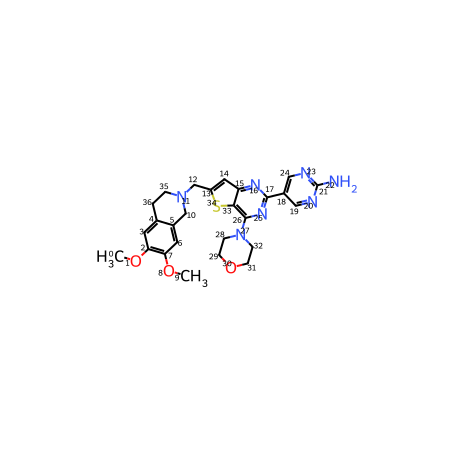 COc1cc2c(cc1OC)CN(Cc1cc3nc(-c4cnc(N)nc4)nc(N4CCOCC4)c3s1)CC2